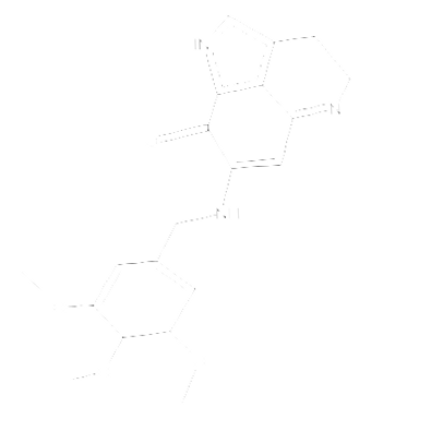 COC1=CC(CNC2=CC3=NCCc4c[nH]c(c43)C2=O)=CC(OC)C1OC